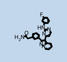 NC(=O)Cc1cccc(-c2nn3ccccc3c2-c2ccnc(Nc3cccc(F)c3)n2)c1